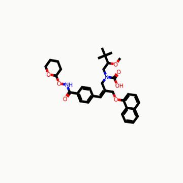 COC(CN(CC(=Cc1ccc(C(=O)NOC2CCCCO2)cc1)COc1cccc2ccccc12)C(=O)O)C(C)(C)C